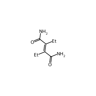 CCC(C(N)=O)=C(CC)C(N)=O